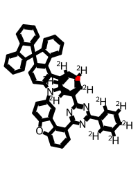 [2H]c1c([2H])c([2H])c(-c2nc(-c3c([2H])c([2H])c([2H])c([2H])c3[2H])nc(-c3cccc4oc5ccc(-n6c7ccccc7c7c8c(ccc76)C6(c7ccccc7-c7ccccc76)c6ccccc6-8)cc5c34)n2)c([2H])c1[2H]